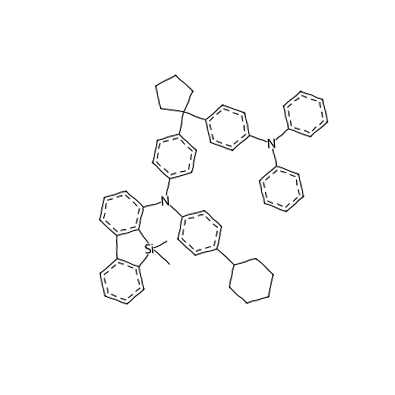 C[Si]1(C)c2ccccc2-c2cccc(N(c3ccc(C4CCCCC4)cc3)c3ccc(C4(c5ccc(N(c6ccccc6)c6ccccc6)cc5)CCCC4)cc3)c21